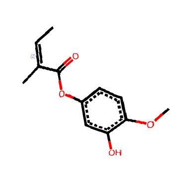 C/C=C(/C)C(=O)Oc1ccc(OC)c(O)c1